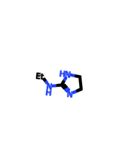 [CH2]CNC1=NCCN1